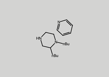 CCCCC1CNCCN1CCCC.c1ccncc1